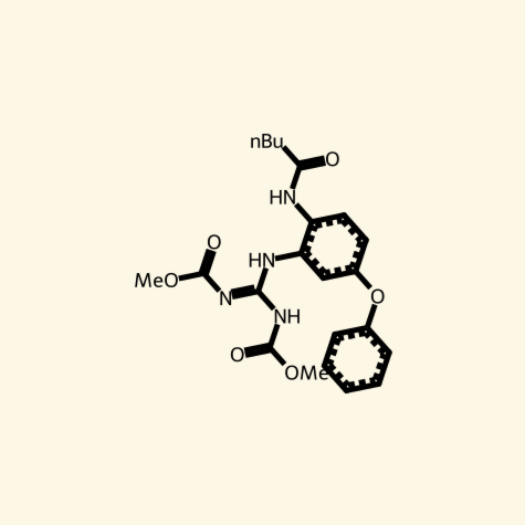 CCCCC(=O)Nc1ccc(Oc2ccccc2)cc1NC(=NC(=O)OC)NC(=O)OC